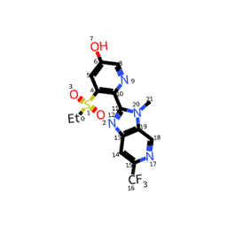 CCS(=O)(=O)c1cc(O)cnc1-c1nc2cc(C(F)(F)F)ncc2n1C